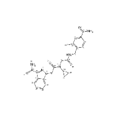 NC(=O)c1ccc(CNC(=O)CN(C(=O)Cn2nc(C(N)=O)c3ccccc32)C2CC2)c(F)c1